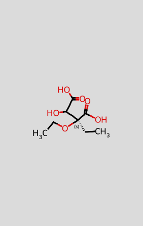 CCO[C@](CC)(C(=O)O)C(O)C(=O)O